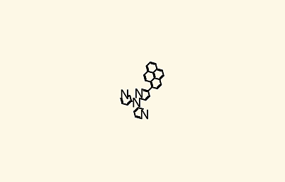 c1cncc(N(c2cccnc2)c2ccc(-c3ccc4ccc5cccc6ccc3c4c56)cn2)c1